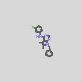 Cc1c(C)n(Cc2ccccc2)c2ncnc(Nc3cccc(Cl)c3)c12